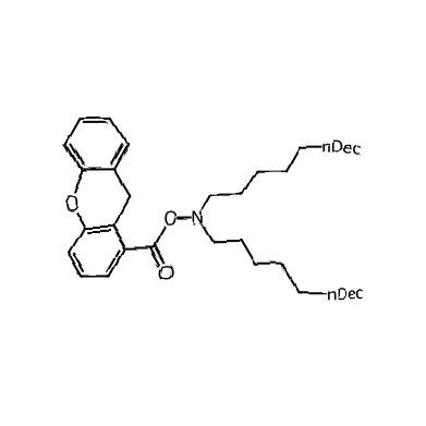 CCCCCCCCCCCCCCCN(CCCCCCCCCCCCCCC)OC(=O)c1cccc2c1Cc1ccccc1O2